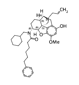 C=CCN1CC[C@]23c4c5c(O)cc(OC)c4O[C@H]2[C@H](N(CC2CCCCC2)C(=O)CCCCCc2ccccc2)CC[C@H]3[C@H]1C5